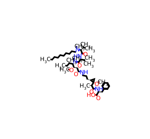 CCCCCCCCCCN(C)[C@H](C(=O)N[C@H](C(=O)N(C)[C@@H]([C@@H](C)CC)[C@@H](CC(=O)NCCC[C@@H]1C[C@@]1(OC)[C@@H](C)C(=O)N[C@@H](Cc1ccccc1)C(=O)O)OC)C(C)C)C(C)C